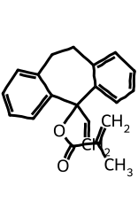 C=CC1(OC(=O)C(=C)C)c2ccccc2CCc2ccccc21